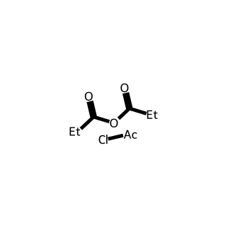 CC(=O)Cl.CCC(=O)OC(=O)CC